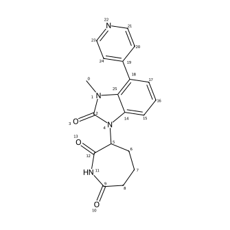 Cn1c(=O)n(C2CCCC(=O)NC2=O)c2cccc(-c3ccncc3)c21